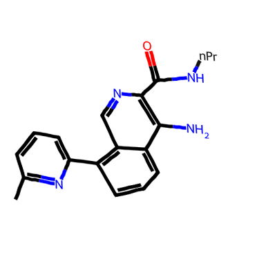 CCCNC(=O)c1ncc2c(-c3cccc(C)n3)cccc2c1N